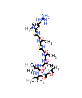 CC[C@H](C)[C@H](NC(=O)c1nc(-c2nc(-c3csc(-c4nc(-c5csc([C@H](CCCNC(=N)N)N(C)C)n5)oc4C)n3)oc2C)oc1C)C(=O)N[C@H](c1nc(-c2nc(C)co2)co1)[C@@H](C)CC